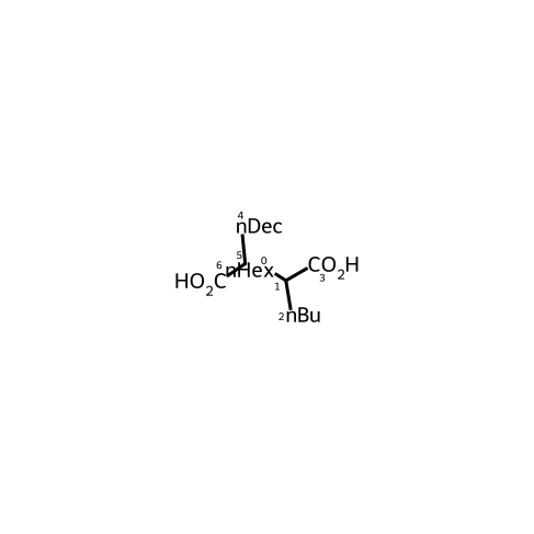 CCCCCCC(CCCC)C(=O)O.CCCCCCCCCCCC(=O)O